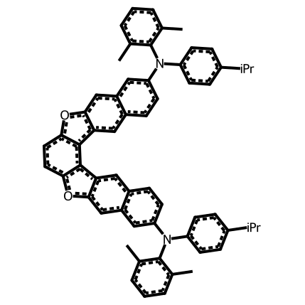 Cc1cccc(C)c1N(c1ccc(C(C)C)cc1)c1ccc2cc3c(cc2c1)oc1ccc2oc4cc5cc(N(c6ccc(C(C)C)cc6)c6c(C)cccc6C)ccc5cc4c2c13